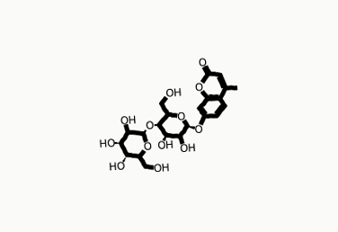 Cc1cc(=O)oc2cc(O[C@@H]3OC(CO)[C@@H](O[C@@H]4OC(CO)[C@H](O)[C@H](O)C4O)[C@H](O)C3O)ccc12